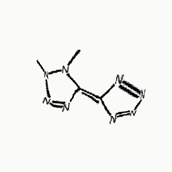 CN1N=NC(=C2N=NN=N2)N1C